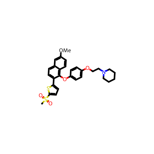 COc1ccc2c(Oc3ccc(OCCN4CCCCC4)cc3)c(-c3ccc(S(C)(=O)=O)s3)ccc2c1